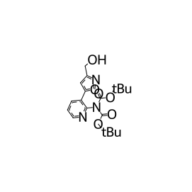 CC(C)(C)OC(=O)N(C(=O)OC(C)(C)C)c1ncccc1-c1cc(CO)no1